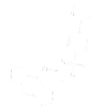 CN(C)C(C1C=CC(S(N)(=O)=NC(=O)Nc2c3c(cc4c2CCC4)CCC3)=CC1)C(F)(F)F